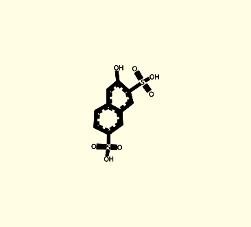 O=S(=O)(O)c1ccc2cc(O)c(S(=O)(=O)O)cc2c1